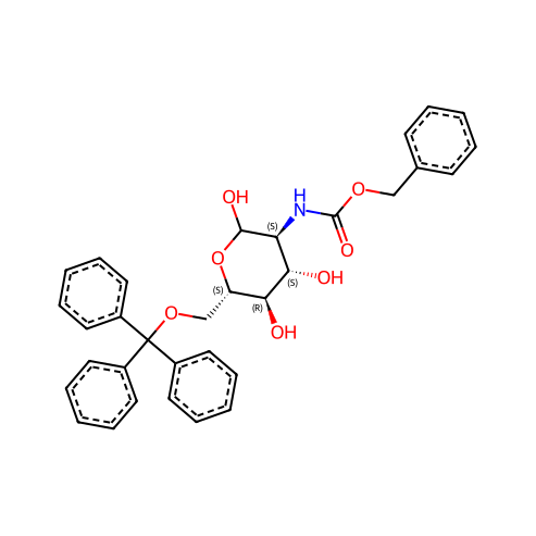 O=C(N[C@@H]1C(O)O[C@@H](COC(c2ccccc2)(c2ccccc2)c2ccccc2)[C@H](O)[C@H]1O)OCc1ccccc1